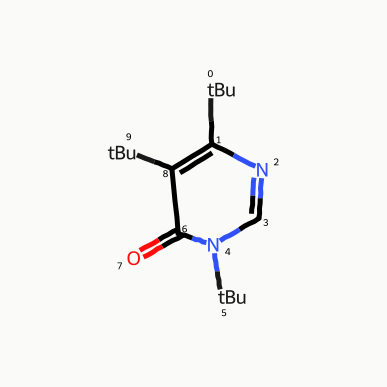 CC(C)(C)c1ncn(C(C)(C)C)c(=O)c1C(C)(C)C